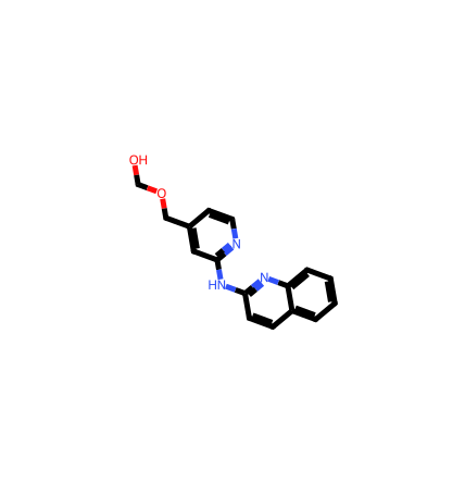 OCOCc1ccnc(Nc2ccc3ccccc3n2)c1